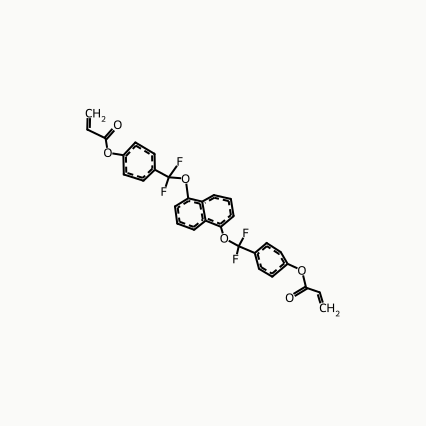 C=CC(=O)Oc1ccc(C(F)(F)Oc2cccc3c(OC(F)(F)c4ccc(OC(=O)C=C)cc4)cccc23)cc1